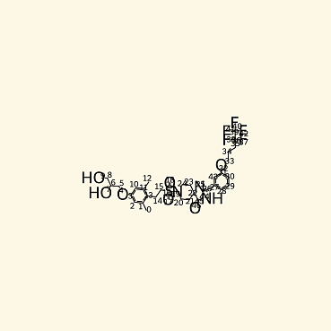 Cc1cc(OC[C@H](O)CO)cc(C)c1CCS(=O)(=O)N1CCC2(CC1)N=C(c1cccc(OCCCC(F)(F)C(F)(F)F)c1)NC2=O